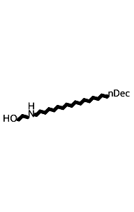 CCCCCCCCCCCCCCCCCCCCCCCCCCCNCCCO